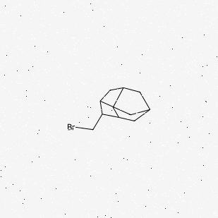 BrCC1C2CC3CC(C2)CC1C3